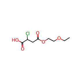 CCOCCOC(=O)CC(Cl)C(=O)O